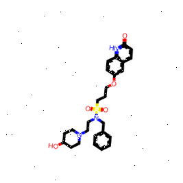 O=c1ccc2cc(OCCCS(=O)(=O)N(CCN3CCC(O)CC3)Cc3ccccc3)ccc2[nH]1